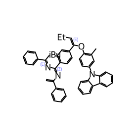 C=C(/N=C(\N=C(\c1ccccc1)C(C)CC)c1ccc(/C(=C\CC)Oc2ccc(-n3c4ccccc4c4ccccc43)cc2C)cc1)c1ccccc1